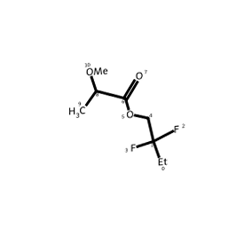 CCC(F)(F)COC(=O)C(C)OC